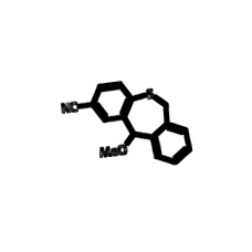 COC1c2ccccc2CSc2ccc(C#N)cc21